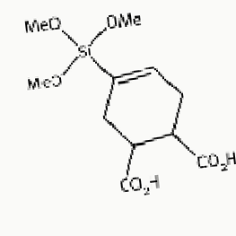 CO[Si](OC)(OC)C1=CCC(C(=O)O)C(C(=O)O)C1